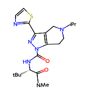 CNC(=O)[C@@H](NC(=O)n1nc(-c2nccs2)c2c1CCN(C(C)C)C2)C(C)(C)C